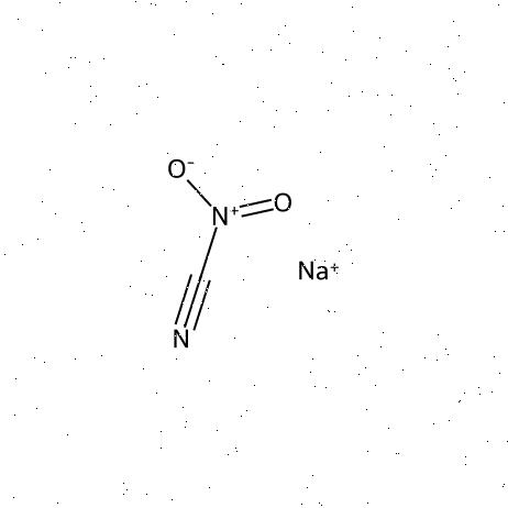 N#C[N+](=O)[O-].[Na+]